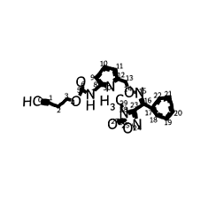 C#CCCOC(=O)Nc1cccc(CON=C(c2ccccc2)c2noc(=O)n2C)n1